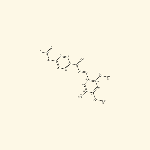 C=C(C)Oc1ccc(C(=O)/C=C/c2cc(CCC)c(OC(C)C)cc2OC(C)C)cc1